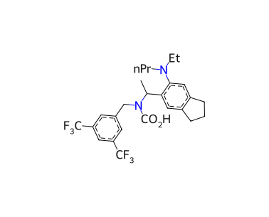 CCCN(CC)c1cc2c(cc1C(C)N(Cc1cc(C(F)(F)F)cc(C(F)(F)F)c1)C(=O)O)CCC2